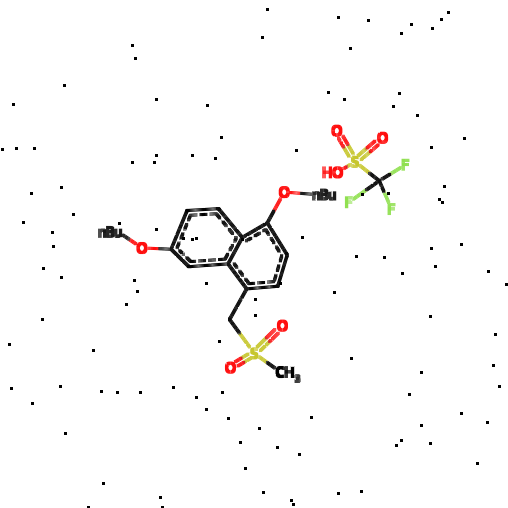 CCCCOc1ccc2c(OCCCC)ccc(CS(C)(=O)=O)c2c1.O=S(=O)(O)C(F)(F)F